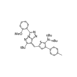 CCCCN(CCCC)c1sc(/C=c2/c(C(C)(C)C)nn3c(-c4ccccc4OC)nnc23)cc1-c1ccc(C)cc1